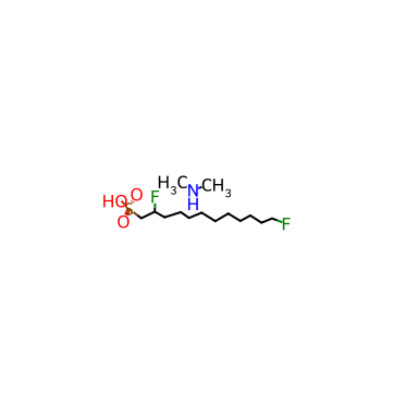 CNC.O=S(=O)(O)CC(F)CCCCCCCCCCF